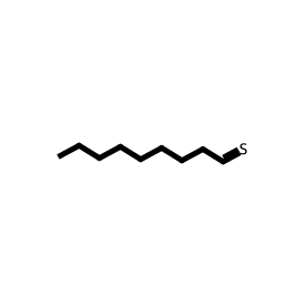 CCCCCCCCC=S